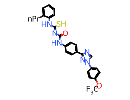 CCCc1ccccc1N/C(S)=N/C(=O)Nc1ccc(-c2ncn(-c3ccc(OC(F)(F)F)cc3)n2)cc1